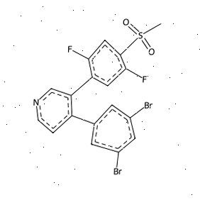 CS(=O)(=O)c1cc(F)c(-c2cnccc2-c2cc(Br)cc(Br)c2)cc1F